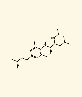 CCNC(CC(C)C)C(=O)Nc1c(C)cc(COC(C)=O)cc1C